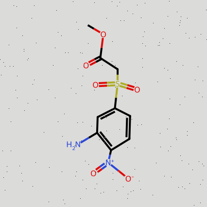 COC(=O)CS(=O)(=O)c1ccc([N+](=O)[O-])c(N)c1